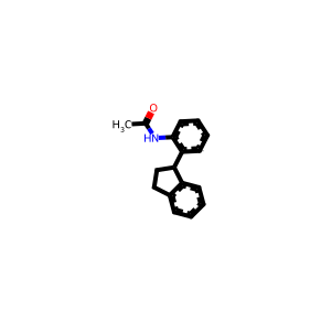 CC(=O)Nc1ccc[c]c1C1CCc2ccccc21